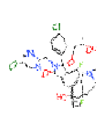 CCC(O)(c1cc(F)c2c(c1)C(=O)N(Cc1ncc(Cl)cn1)[C@@]2(OC[C@@H](C)O)c1ccc(Cl)cc1)C1(F)CCN(C)CC1